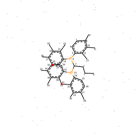 CCCC(P(c1ccc(C)c(C)c1C)c1ccc(C)c(C)c1C)P(c1ccc(C)c(C)c1C)c1ccc(C)c(C)c1C